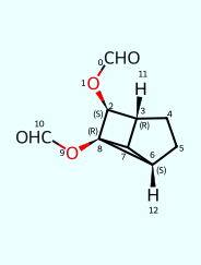 O=CO[C@H]1[C@@H]2CC[C@H]3C2[C@]31OC=O